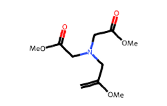 C=C(CN(CC(=O)OC)CC(=O)OC)OC